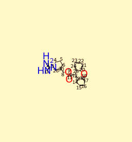 N=C(N)N1CCC[C@@H](COC(=O)C2c3ccccc3Oc3ccccc32)C1